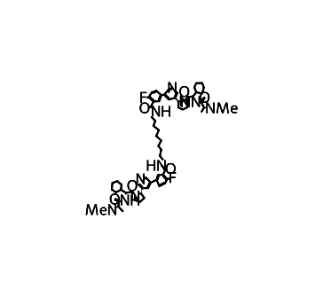 CN[C@@H](C)C(=O)N[C@H](C(=O)N1CCC[C@H]1c1cncc(-c2ccc(F)c(C(=O)NCCCCCCCCCCNC(=O)c3cc(-c4cncc([C@@H]5CCCN5C(=O)[C@@H](NC(=O)[C@H](C)NC)C5CCCCC5)c4)ccc3F)c2)c1)C1CCCCC1